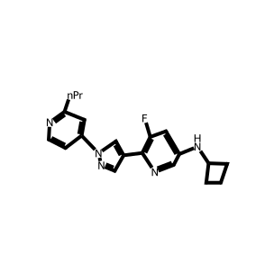 CCCc1cc(-n2cc(-c3ncc(NC4CCC4)cc3F)cn2)ccn1